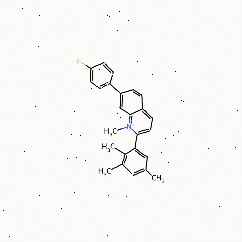 Cc1cc(C)c(C)c(-c2ccc3ccc(-c4ccc(F)cc4)cc3[n+]2C)c1